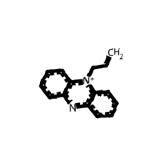 C=CC[n+]1c2ccccc2nc2ccccc21